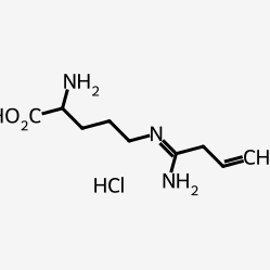 C=CCC(N)=NCCCC(N)C(=O)O.Cl